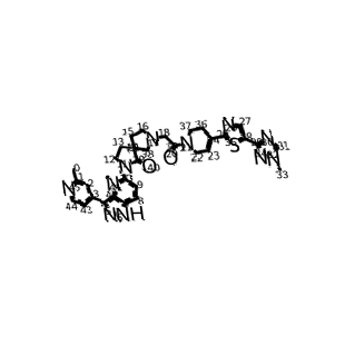 Cc1cc(-c2n[nH]c3ccc(N4CC[C@]5(CCN(CC(=O)N6CC=C(c7ncc(-c8ncn(C)n8)s7)CC6)C5)C4=O)nc23)ccn1